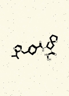 CC(C)c1nccn1Cc1ccc(C(=O)N[C@@H]2C[C@@]3(CCCO3)C[C@@H]2C(=O)NO)cc1